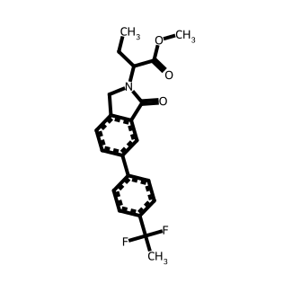 CCC(C(=O)OC)N1Cc2ccc(-c3ccc(C(C)(F)F)cc3)cc2C1=O